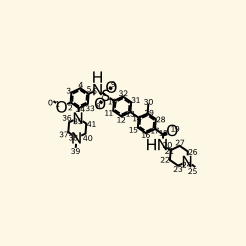 COc1ccc(NS(=O)(=O)c2ccc(-c3ccc(C(=O)NC4CCN(C)CC4)cc3C)cc2)cc1N1CCN(C)CC1